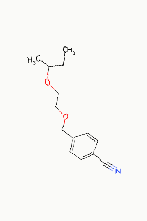 CCC(C)OCCOCc1ccc(C#N)cc1